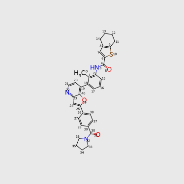 Cc1c(NC(=O)c2cc3c(s2)CCCC3)cccc1-c1ccnc2cc(-c3ccc(C(=O)N4CCCC4)cc3)oc12